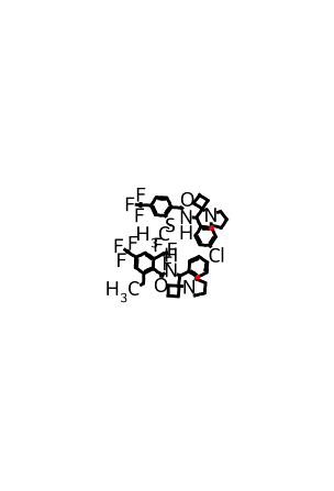 CCc1cc(C(F)(F)F)cc(C(F)(F)F)c1C(=O)NC(c1ccccc1)C1(N2CCCC2)CCC1.CSc1cc(C(F)(F)F)ccc1C(=O)NC(c1ccc(Cl)cc1)C1(N2CCCC2)CCC1